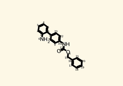 Nc1ccccc1-c1ccc(NC(=O)OCc2ccccc2)cc1